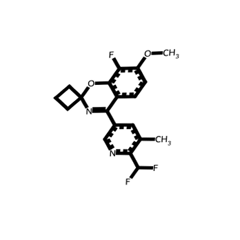 COc1ccc2c(c1F)OC1(CCC1)N=C2c1cnc(C(F)F)c(C)c1